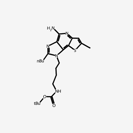 CCCCc1nc2c(N)nc3cc(C)sc3c2n1CCCCNC(=O)OC(C)(C)C